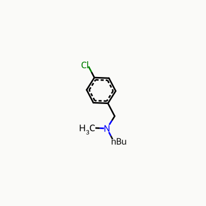 CCCCN(C)Cc1ccc(Cl)cc1